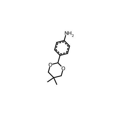 CC1(C)COC(c2ccc(N)cc2)OC1